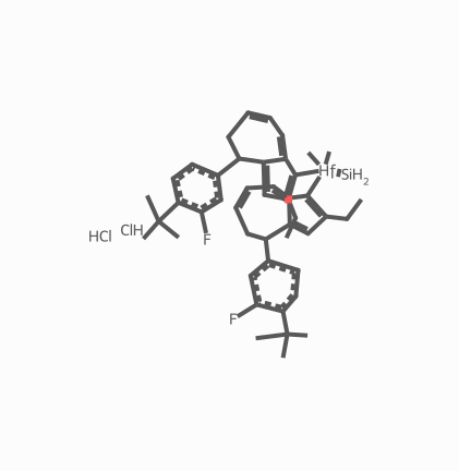 CCC1=[C]([Hf]([CH3])([CH3])(=[SiH2])[C]2=C(CC)C=C3C2=CC=CCC3c2ccc(C(C)(C)C)c(F)c2)C2=CC=CCC(c3ccc(C(C)(C)C)c(F)c3)C2=C1.Cl.Cl